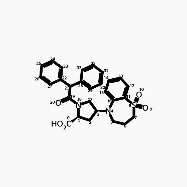 O=C(O)[C@@H]1C[C@H](N2CCCS(=O)(=O)c3ccccc32)CN1C(=O)C(c1ccccc1)c1ccccc1